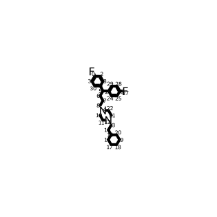 Fc1ccc(C(CCCN2CCN(CCC3CCCCC3)CC2)c2ccc(F)cc2)cc1